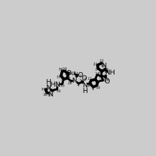 CC(C)(C)C(=O)N(CC(=O)Nc1ccc2c(c1)CC1(C2)C(=O)Nc2ncccc21)Cc1ccccc1CNCc1ncc[nH]1